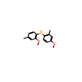 COc1ccc(Pc2ccc(C)cc2OC)c(C)c1